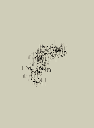 CC[C@H](C)[C@H](NC(=O)[C@@H](NC(=O)[C@@H](N)C(C)C)C(C)C)C(=O)N[C@@H](CCC(N)=O)C(=O)N1CCC[C@H]1C(=O)N[C@@H](CO)C(=O)N1CCC[C@H]1C(=O)N[C@H](C(=O)N[C@H](C(=O)N[C@H](C(=O)N[C@H](C(=O)N[C@@H](CC(C)C)C(=O)N1CCC[C@H]1C(=O)NCC(=O)N1CCC[C@H]1C(=O)N[C@H](C(=O)N[C@@H](CC(C)C)C(=O)O)[C@@H](C)CC)[C@@H](C)O)C(C)C)C(C)C)C(C)C